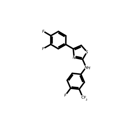 Fc1ccc(-c2csc(Nc3ccc(F)c(C(F)(F)F)c3)n2)cc1F